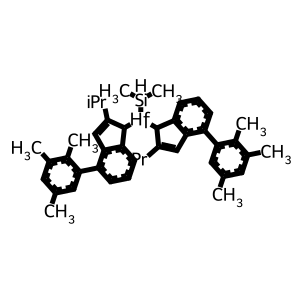 Cc1cc(C)c(C)c(-c2cccc3c2C=C(C(C)C)[CH]3[Hf]([CH]2C(C(C)C)=Cc3c(-c4cc(C)cc(C)c4C)cccc32)[SiH](C)C)c1